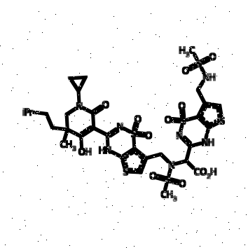 CC(C)CCC1(C)CN(C2CC2)C(=O)C(C2=NS(=O)(=O)c3c(CN(C(C(=O)O)C4=NS(=O)(=O)c5c(CNS(C)(=O)=O)csc5N4)S(C)(=O)=O)csc3N2)=C1O